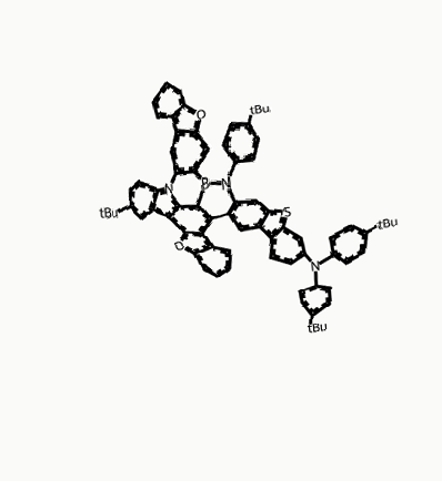 CC(C)(C)c1ccc(N2B3c4cc5oc6ccccc6c5cc4-n4c5ccc(C(C)(C)C)cc5c5c6oc7ccccc7c6c(c3c54)-c3cc4c(cc32)sc2cc(N(c3ccc(C(C)(C)C)cc3)c3ccc(C(C)(C)C)cc3)ccc24)cc1